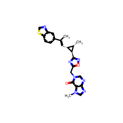 C/C(=C\[C@@H]1[C@H](C)[C@H]1c1noc(Cn2cnc3ncn(C)c3c2=O)n1)c1ccc2scnc2c1